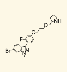 Cn1nc(-c2ccc(OCCCOC[C@H]3CCCN3)cc2F)c2ccc(Br)cc21